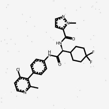 Cc1nccc(Cl)c1-c1ccc(NC(=O)[C@@H](NC(=O)c2ccnn2C)C2CCC(F)(F)CC2)cc1